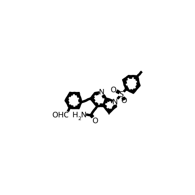 Cc1ccc(S(=O)(=O)n2c[c]c3c(C(N)=O)c(-c4cccc(C=O)c4)cnc32)cc1